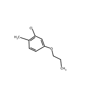 CCCOc1ccc(C)c(Cl)c1